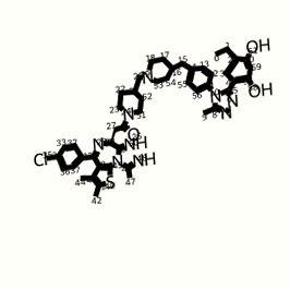 CCc1cc(-c2nnc(C)n2-c2ccc(CC3CCN(CC4CCN(C(=O)C[C@@H]5N=C(c6ccc(Cl)cc6)c6c(sc(C)c6C)N(C(C)=N)C5=N)CC4)CC3)cc2)c(O)cc1O